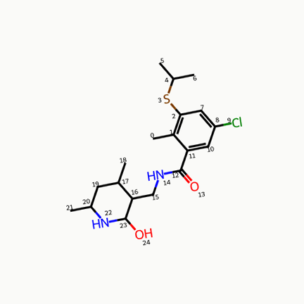 Cc1c(SC(C)C)cc(Cl)cc1C(=O)NCC1C(C)CC(C)NC1O